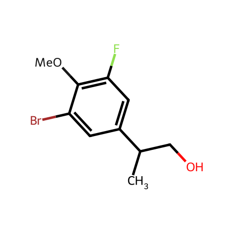 COc1c(F)cc(C(C)CO)cc1Br